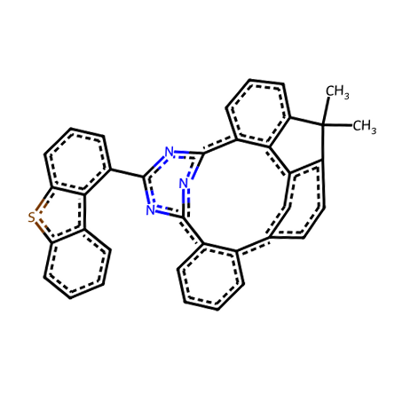 CC1(C)c2ccc3cc2c2c1cccc2c1nc(-c2cccc4sc5ccccc5c24)nc(n1)c1ccccc31